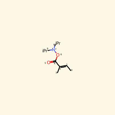 CC=C(C)C(=O)ON(C(C)C)C(C)C